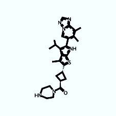 Cc1c(-c2[nH]c3sc([C@H]4C[C@H](C(=O)N5CCNCC5)C4)c(C)c3c2C(C)C)cn2ncnc2c1C